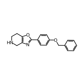 c1ccc(COc2ccc(-c3nc4c(o3)CCNC4)cc2)cc1